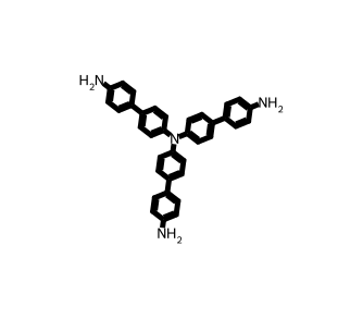 Nc1ccc(-c2ccc(N(c3ccc(-c4ccc(N)cc4)cc3)c3ccc(-c4ccc(N)cc4)cc3)cc2)cc1